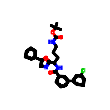 CC(C)(C)OC(=O)NCCCC(NC(=O)c1cccc(-c2cccc(Cl)c2)c1)c1ncc(-c2ccccc2)o1